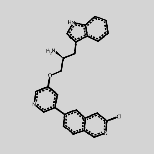 N[C@H](COc1cncc(-c2ccc3cnc(Cl)cc3c2)c1)Cc1c[nH]c2ccccc12